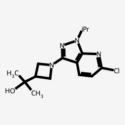 CC(C)n1nc(N2CC(C(C)(C)O)C2)c2ccc(Cl)nc21